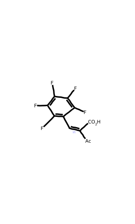 CC(=O)/C(=C/c1c(F)c(F)c(F)c(F)c1F)C(=O)O